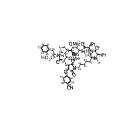 CC[C@H](C)[C@@H]([C@@H](CC(=O)N1CCCC1[C@H](OC)[C@@H](C)C(=O)NC(Cc1ccccc1)C(=O)O)OC)N(C)C(=O)C(NC(=O)C(C(C)C)N(C)C(=O)CCCCCN1C(=O)C=C(Oc2ccc(C#N)cc2)C1=O)C(C)C